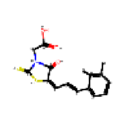 Cc1cccc(C=CC=C2SC(=S)N(CC(=O)O)C2=O)c1C